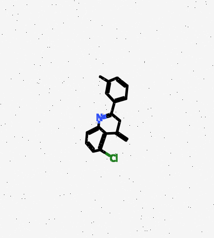 C=C1CC(c2cccc(C)c2)=Nc2cccc(Cl)c21